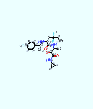 CC[C@H](NC(=O)[C@H](CC(F)(F)CC(C)C)N[C@@H](c1ccc(F)cc1)C(F)(F)F)C(=O)C(=O)NC1CC1